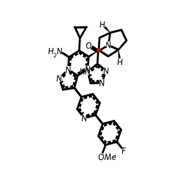 COc1cc(-c2ccc(-c3cnn4c(N)c(C5CC5)c([C@@H]5C[C@H]6CC[C@@H](C5)N6C(=O)c5nnc[nH]5)nc34)cn2)ccc1F